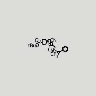 CC(C)(C)OC(=O)N1CCC(CC#N)(N2CC(CN(C(=O)C(F)(F)F)C3CC3c3ccccc3)C2)CC1